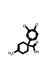 CC1=CCC(C(=O)O)(c2ccc(Cl)c(Cl)c2)CC1